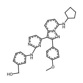 COc1ccc(-c2nn3c(NC4CCCC4)cccc3c2-c2ccnc(Nc3cccc(CO)c3)n2)cc1